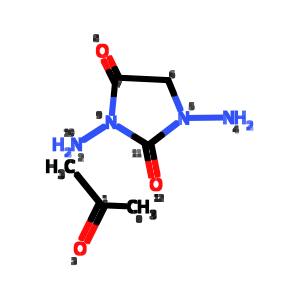 CC(C)=O.NN1CC(=O)N(N)C1=O